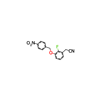 N#CCc1cccc(OCc2ccc([N+](=O)[O-])cc2)c1F